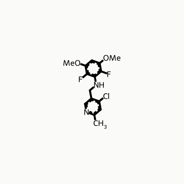 COc1cc(OC)c(F)c(NCc2cnc(C)cc2Cl)c1F